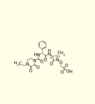 CCN1CCN(C(=O)NC(C(=O)N[C@@H]2C(=O)N(OCS(=O)(=O)O)[C@H]2C)c2ccccc2)C(=O)C1=O